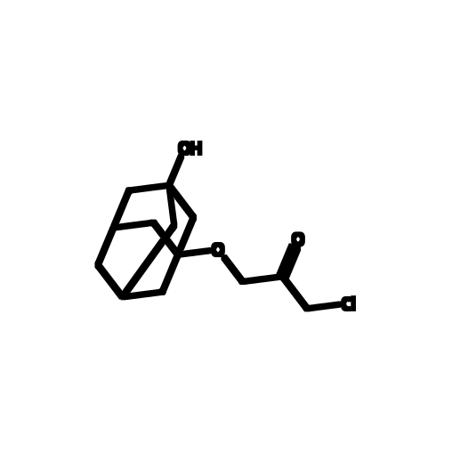 O=C(CCl)COC12CC3CC(CC(O)(C3)C1)C2